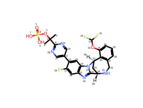 CC(C)(OP(=O)(O)O)c1ncc(-c2cc3c(cc2F)nc2n3[C@@H]3C[C@@H]2NCc2cccc(OC(F)F)c23)cn1